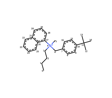 CCCC[N+](C)(Cc1ccc(C(C)(C)C)cc1)c1cccc2ccccc12